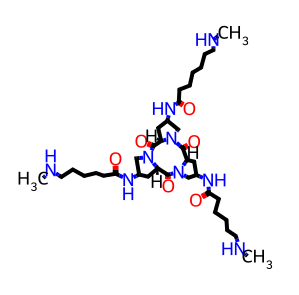 CNCCCCCCC(=O)NC1C[C@H]2C(=O)N3CC(NC(=O)CCCCCNC)C[C@H]3C(=O)N3CC(NC(=O)CCCCCNC)C[C@H]3C(=O)N2C1